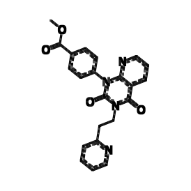 COC(=O)c1ccc(-n2c(=O)n(CCc3ccccn3)c(=O)c3cccnc32)cc1